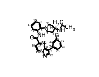 CC(C)NC1CCN(c2ccccc2NC(=O)c2ccn3ncc(-c4cccc(Cl)c4)c3n2)CC1